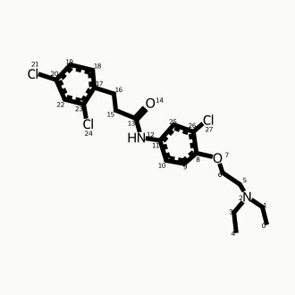 CCN(CC)CCOc1ccc(NC(=O)CCc2ccc(Cl)cc2Cl)cc1Cl